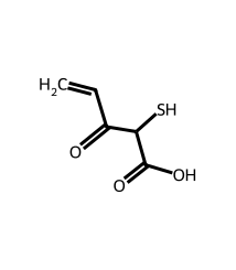 C=CC(=O)C(S)C(=O)O